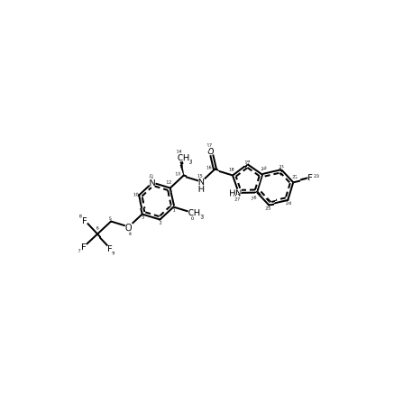 Cc1cc(OCC(F)(F)F)cnc1[C@@H](C)NC(=O)c1cc2cc(F)ccc2[nH]1